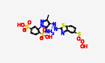 Cc1nn(-c2cc(S(=O)(=O)O)ccc2S(=O)(=O)O)c(N)c1/N=N/c1nc2cc(SOOO)ccc2s1